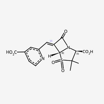 CC1(C)[C@H](C(=O)O)N2C(=O)/C(=C/c3cc(C(=O)O)ccn3)[C@H]2S1(=O)=O